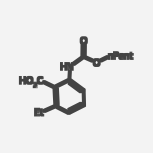 CCCCCOC(=O)Nc1cccc(CC)c1C(=O)O